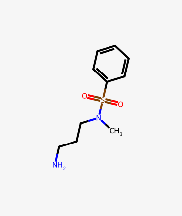 CN(CCCN)S(=O)(=O)c1ccccc1